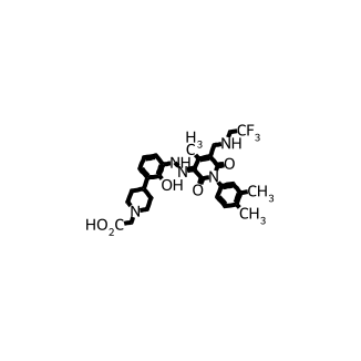 CC1=C(CNCC(F)(F)F)C(=O)N(c2ccc(C)c(C)c2)C(=O)C1=NNc1cccc(C2CCN(CC(=O)O)CC2)c1O